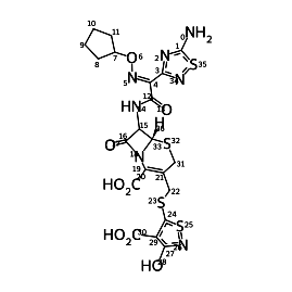 Nc1nc(C(=NOC2CCCC2)C(=O)NC2C(=O)N3C(C(=O)O)=C(CSc4snc(O)c4C(=O)O)CS[C@@H]23)ns1